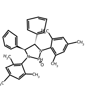 Cc1cc(C)c(N2[C@@H](c3ccccc3)[C@H](c3ccccc3)N(c3c(C)cc(C)cc3C)[PH]2=O)c(C)c1